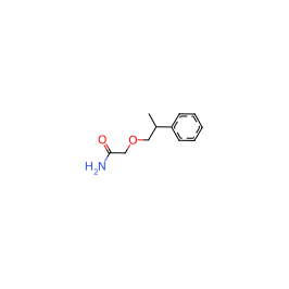 CC(COCC(N)=O)c1ccccc1